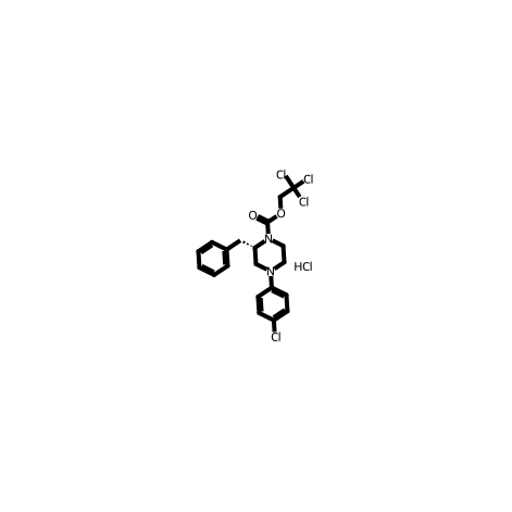 Cl.O=C(OCC(Cl)(Cl)Cl)N1CCN(c2ccc(Cl)cc2)C[C@@H]1Cc1ccccc1